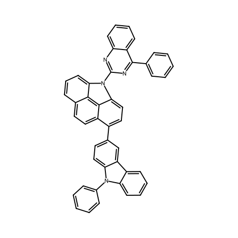 c1ccc(-c2nc(-n3c4cccc5ccc6c(-c7ccc8c(c7)c7ccccc7n8-c7ccccc7)ccc3c6c54)nc3ccccc23)cc1